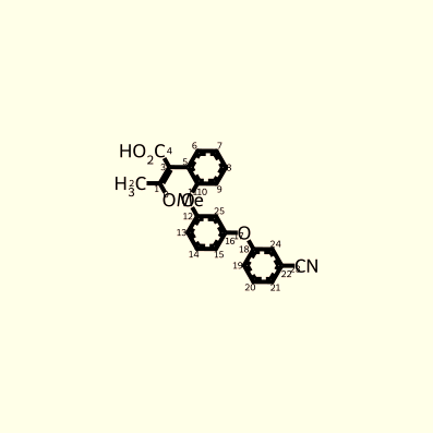 CO/C(C)=C(/C(=O)O)c1ccccc1Oc1cccc(Oc2cccc(C#N)c2)c1